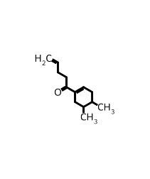 C=CCCC(=O)C1=CCC(C)C(C)C1